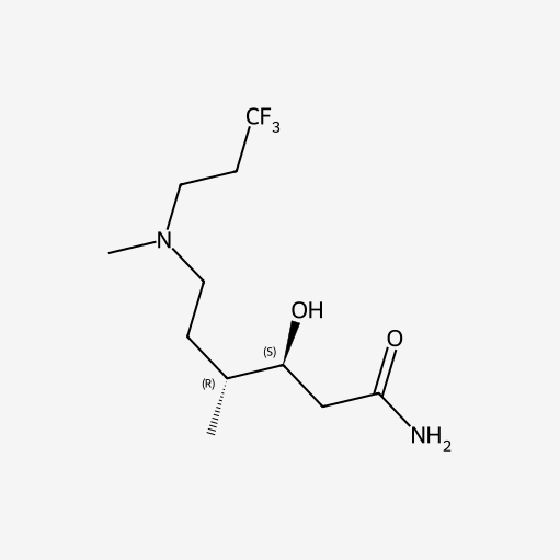 C[C@H](CCN(C)CCC(F)(F)F)[C@@H](O)CC(N)=O